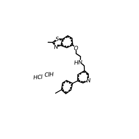 Cc1ccc(-c2cncc(CNCCOc3ccc4sc(C)nc4c3)c2)cc1.Cl.Cl